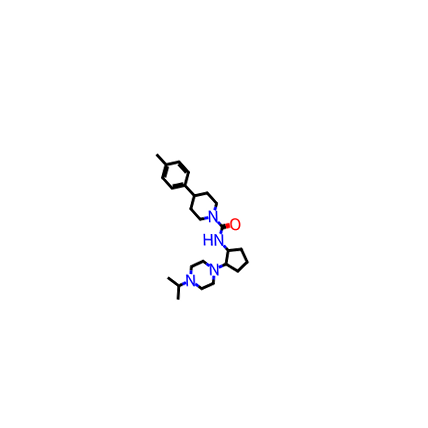 Cc1ccc(C2CCN(C(=O)NC3CCCC3N3CCN(C(C)C)CC3)CC2)cc1